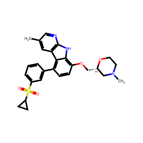 Cc1cnc2[nH]c3c(OC[C@H]4CN(C)CCO4)ccc(-c4cccc(S(=O)(=O)C5CC5)c4)c3c2c1